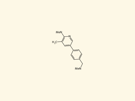 CNCc1ccc(-c2cnc(NC)c(C)c2)cc1